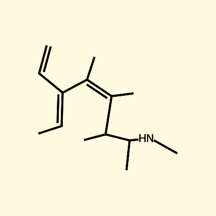 C=CC(=C\C)/C(C)=C(/C)C(C)C(C)NC